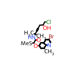 CSC(Oc1cc(C)c2ncc(Br)cc2c1)C(=O)NC(C)(C)C#CCC(O)CCl